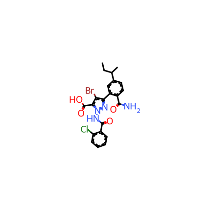 CCC(C)c1ccc(C(N)=O)c(-c2nn(NC(=O)c3ccccc3Cl)c(C(=O)O)c2Br)c1